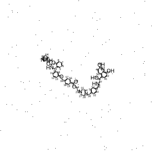 O=C(N[C@@H](c1ccccc1)c1cccc(OCc2ccc(C(=O)OCCN3CCN(Cc4ccc(CNC[C@H](O)c5ccc(O)c6[nH]c(=O)ccc56)cc4)CC3)cc2)c1)O[C@H]1CN2CCC1CC2